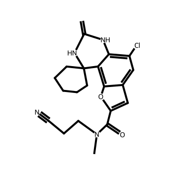 C=C1Nc2c(Cl)cc3cc(C(=O)N(C)CCC#N)oc3c2C2(CCCCC2)N1